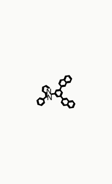 c1ccc(-c2nc(-c3cc(-c4ccc5ccccc5c4)cc(-c4ccc5ccccc5c4)c3)n3ccccc23)cc1